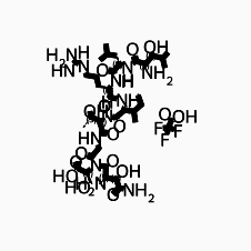 CCC(C)[C@H](NC(=O)[C@@H](CCCNC(=N)N)NC(=O)[C@H](CC(C)C)NC(=O)[C@@H](N)[C@H](O)C(C)C)C(=O)N[C@H](C(=O)NCC(=O)N(C(=O)[C@@H](N)[C@H](O)C(N)=O)[C@@H](CO)C(=O)O)[C@H](C)O.O=C(O)C(F)(F)F